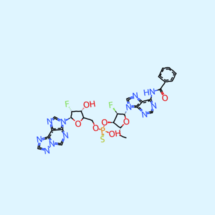 CC[C@H]1O[C@@H](n2cnc3c(NC(=O)c4ccccc4)ncnc32)[C@H](F)[C@@H]1OP(O)(=S)OCC1O[C@@H](n2cnc3c2ncn2ncnc32)[C@H](F)[C@@H]1O